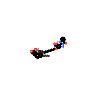 COc1cc(/C=C\c2cc(OC)c(OCCCCCCCCOc3ccc(C4NC(=O)c5ccccc5N4)cc3CO)c(OC)c2)cc(CO)c1CO